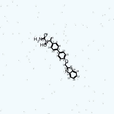 CC(c1ccc(-c2ccc(OCc3nc4ccccc4s3)cc2)cc1)N(O)C(N)=O